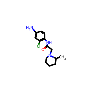 CC1CCCCN1CC(=O)Nc1ccc(N)cc1Cl